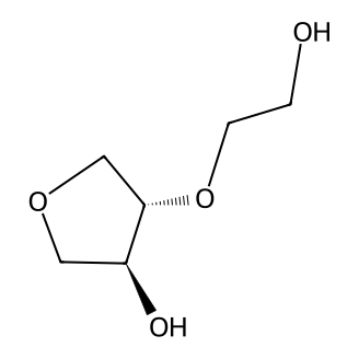 OCCO[C@H]1COC[C@@H]1O